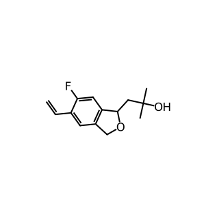 C=Cc1cc2c(cc1F)C(CC(C)(C)O)OC2